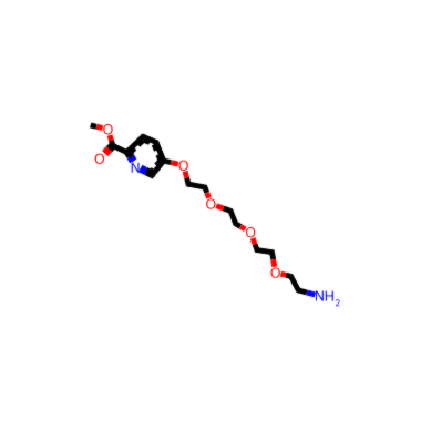 COC(=O)c1ccc(OCCOCCOCCOCCN)cn1